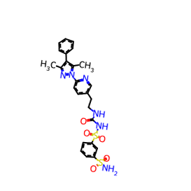 Cc1nn(-c2ccc(CCNC(=O)NS(=O)(=O)c3cccc(S(N)(=O)=O)c3)cn2)c(C)c1-c1ccccc1